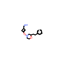 N=CC1C=C(ON2CCOC(CCc3ccccc3)C2)C1